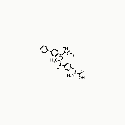 CC(C)[C@@H](CN(C)C(=O)c1ccc(C[C@H](N)C(=O)O)cc1)c1ccc(-c2ccccc2)cc1